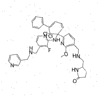 COc1nc(C2(Nc3nccc(CNCc4cccnc4)c3F)C=CC=C(c3ccccc3)C2(Cl)Cl)ccc1CNCC1CCC(=O)N1